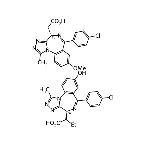 CCC(C(=O)O)[C@@H]1N=C(c2ccc(Cl)cc2)c2cc(O)ccc2-n2c(C)nnc21.COc1ccc2c(c1)C(c1ccc(Cl)cc1)=N[C@@H](CC(=O)O)c1nnc(C)n1-2